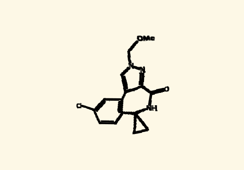 COCn1cc2c(n1)C(=O)NC1(CC1)c1ccc(Cl)cc1-2